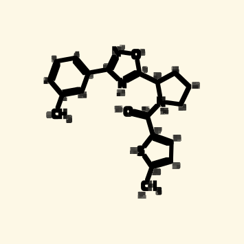 Cc1cccc(-c2noc(C3CCCN3C(=O)c3ccc(C)s3)n2)c1